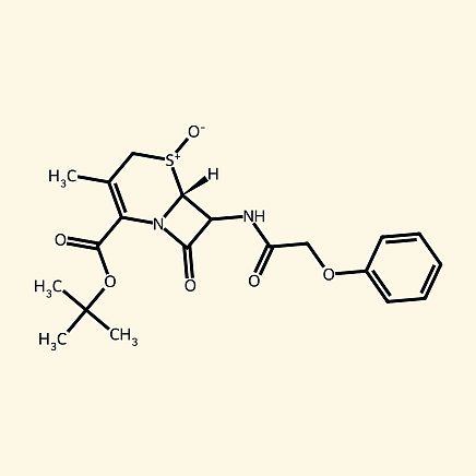 CC1=C(C(=O)OC(C)(C)C)N2C(=O)C(NC(=O)COc3ccccc3)[C@H]2[S+]([O-])C1